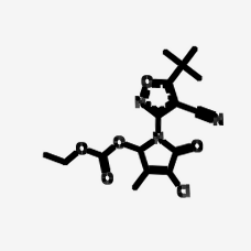 CCOC(=O)OC1C(C)=C(Cl)C(=O)N1c1noc(C(C)(C)C)c1C#N